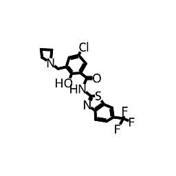 O=C(Nc1nc2ccc(C(F)(F)F)cc2s1)c1cc(Cl)cc(CN2CCC2)c1O